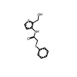 O=C(CSc1ccccc1)Nc1ccsc1CO